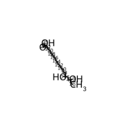 CCC(O)CCC(O)CCCCCCCCCCCCCCCC(=O)O